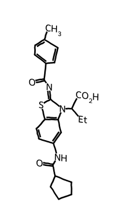 CCC(C(=O)O)n1/c(=N/C(=O)c2ccc(C)cc2)sc2ccc(NC(=O)C3CCCC3)cc21